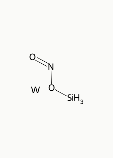 O=NO[SiH3].[W]